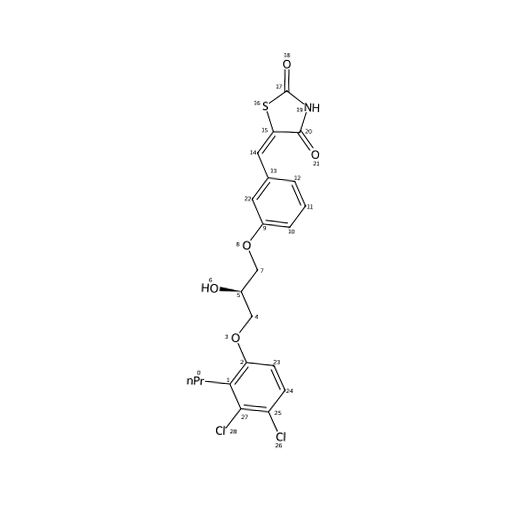 CCCc1c(OC[C@@H](O)COc2cccc(C=C3SC(=O)NC3=O)c2)ccc(Cl)c1Cl